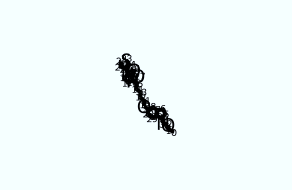 CCON=C1CCc2cc(OCCCCCN3CCN(c4ccsc4)S3(=O)=O)ccc21